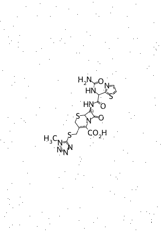 Cn1nnnc1SCC1=C(C(=O)O)N2C(=O)[C@H](NC(=O)C(NC(N)=O)c3nccs3)C2SC1